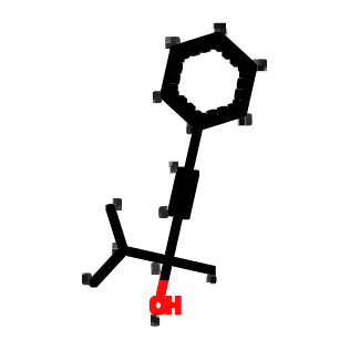 CC(C)C(C)(O)C#Cc1ccccc1